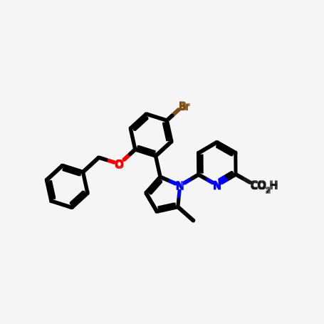 Cc1ccc(-c2cc(Br)ccc2OCc2ccccc2)n1-c1cccc(C(=O)O)n1